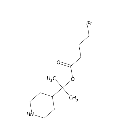 CC(C)CCCC(=O)OC(C)(C)C1CCNCC1